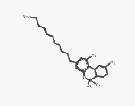 CCCCCCCCCCCCCCCCCCCCc1cc(O)c2c(c1)OC(C)(C)C1CCC(C)=CC21